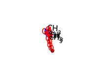 CCOC(=O)Cn1cc(N(CCOCCOCCOCCOCc2ccccc2)C(=O)OC(C)(C)C)ccc1=O